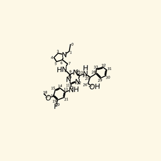 CCN1CCCC1CNc1nc(Nc2ccc(OC)c(F)c2)nc(NC(CO)c2ccccc2)n1